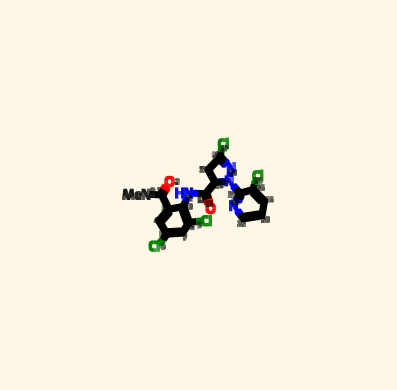 CNC(=O)c1cc(Cl)cc(Cl)c1NC(=O)C1CC(Cl)=NN1c1ncccc1Cl